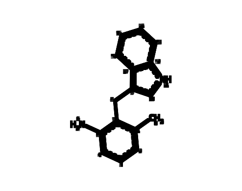 Cc1cccc(N)c1Cc1c[nH]c2ccccc12